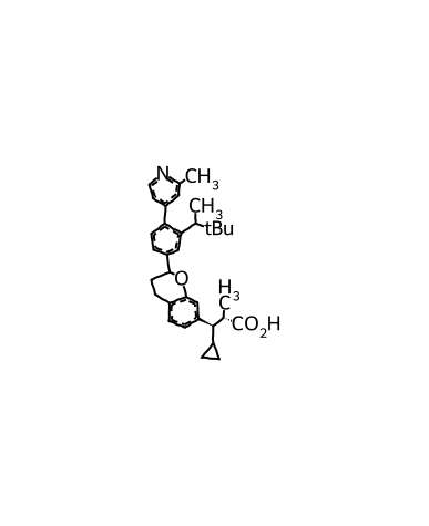 Cc1cc(-c2ccc(C3CCc4ccc([C@H](C5CC5)[C@H](C)C(=O)O)cc4O3)cc2C(C)C(C)(C)C)ccn1